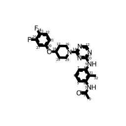 CC(=O)Nc1cccc(Nc2ncnc(N3CCC(Oc4ccc(F)c(F)c4)CC3)n2)c1C